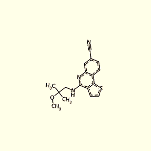 COC(C)(C)CNc1nc2cc(C#N)ccc2c2sccc12